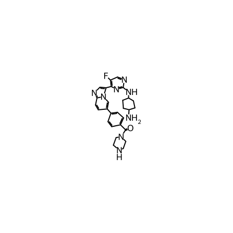 NC1CCC(Nc2ncc(F)c(-c3cnc4ccc(-c5ccc(C(=O)N6CCNCC6)cc5)cn34)n2)CC1